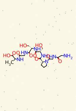 C[C@H](NC(=O)CNC(=O)[C@H](CO)NC(=O)[C@H](CO)NC(=O)[C@@H]1CCCN1C(=O)CNC(=O)CN)C(=O)O